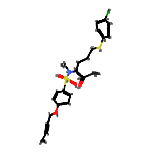 CC#CCOc1ccc(S(=O)(=O)N(C)C(CCCSc2ccc(Cl)cc2)C(=O)OC)cc1